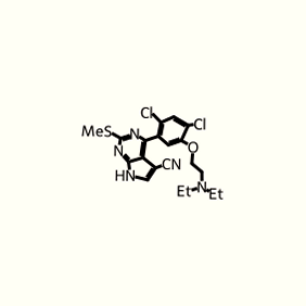 CCN(CC)CCOc1cc(-c2nc(SC)nc3[nH]cc(C#N)c23)c(Cl)cc1Cl